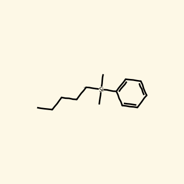 CCCC[CH][Si](C)(C)c1ccccc1